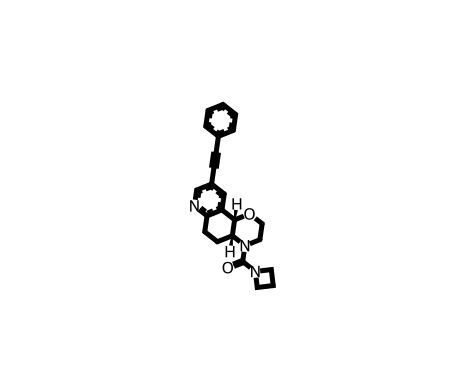 O=C(N1CCC1)N1CCO[C@H]2c3cc(C#Cc4ccccc4)cnc3CC[C@H]21